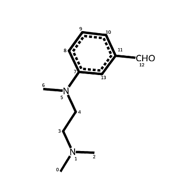 CN(C)CCN(C)c1cccc(C=O)c1